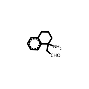 NC1(C[C]=O)CCCc2ccccc21